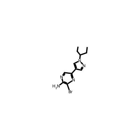 CCC(CC)n1cc(-c2cnc(N)c(Br)n2)cn1